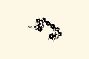 COC(=O)N[C@@H](C(=O)N1CCC[C@H]1c1ncc(-c2ccc(-c3ccc(-c4cnc([C@@H]5CCCN5C(=O)[C@H](NC(=O)O)c5ccccc5)[nH]4)cc3)cc2)[nH]1)c1ccccc1Cl